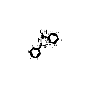 C/C(=N/[C@H](c1ccccc1)C(F)(F)F)c1ccccc1